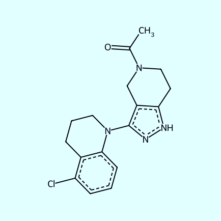 CC(=O)N1CCc2[nH]nc(N3CCCc4c(Cl)cccc43)c2C1